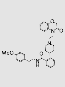 COc1ccc(CCNC(=O)c2ccccc2C2CCN(CCN3C(=O)COc4ccccc43)CC2)cc1